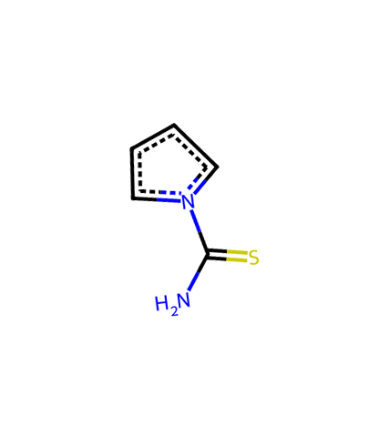 NC(=S)n1cccc1